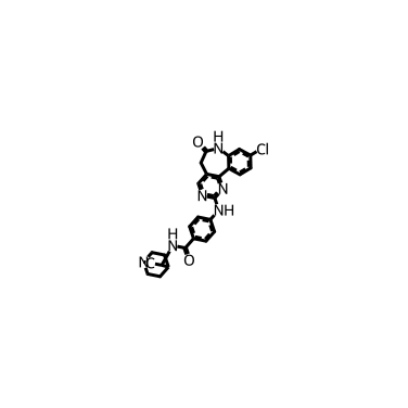 O=C1Cc2cnc(Nc3ccc(C(=O)NC4CN5CCC4CC5)cc3)nc2-c2ccc(Cl)cc2N1